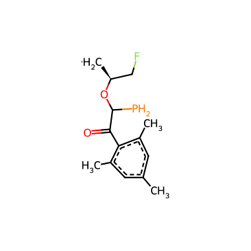 [CH2][C@@H](CF)OC(P)C(=O)c1c(C)cc(C)cc1C